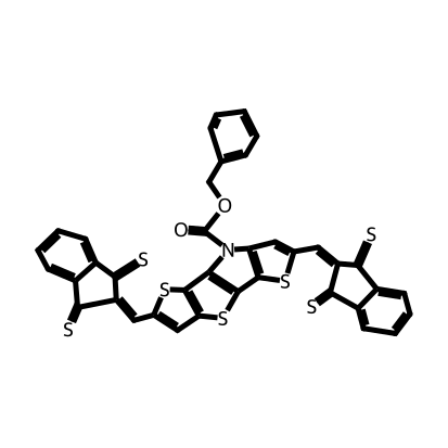 O=C(OCc1ccccc1)n1c2cc(C=C3C(=S)c4ccccc4C3=S)sc2c2sc3cc(C=C4C(=S)c5ccccc5C4=S)sc3c21